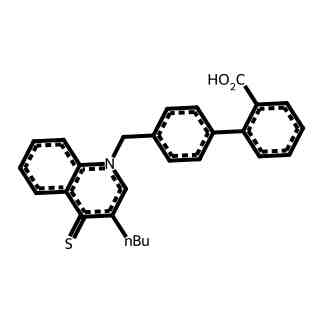 CCCCc1cn(Cc2ccc(-c3ccccc3C(=O)O)cc2)c2ccccc2c1=S